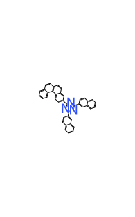 c1ccc2cc(-c3nc(-c4ccc5ccccc5c4)nc(-c4ccc5c(ccc6ccc7ccccc7c65)c4)n3)ccc2c1